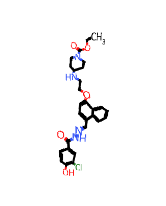 CCOC(=O)N1CCC(NCCOc2ccc(C=NNC(=O)c3ccc(O)c(Cl)c3)c3ccccc23)CC1